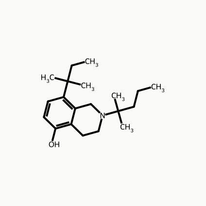 CCCC(C)(C)N1CCc2c(O)ccc(C(C)(C)CC)c2C1